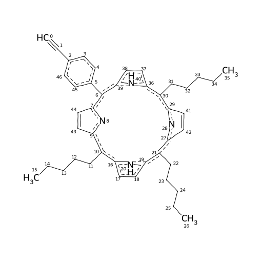 C#Cc1ccc(-c2c3nc(c(CCCCC)c4ccc([nH]4)c(CCCCC)c4nc(c(CCCCC)c5ccc2[nH]5)C=C4)C=C3)cc1